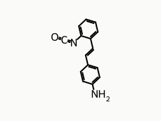 Nc1ccc(C=Cc2ccccc2N=C=O)cc1